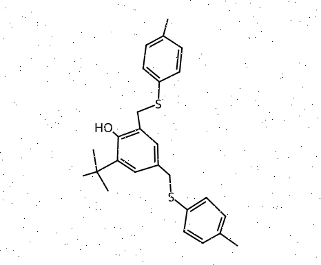 Cc1ccc(SCc2cc(CSc3ccc(C)cc3)c(O)c(C(C)(C)C)c2)cc1